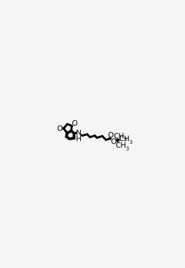 CC(C)(C)OC(=O)CCCCCCCNc1cccc2c1C(=O)CC2=O